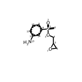 C=S(=O)(OCC1CO1)c1cccc(N)c1